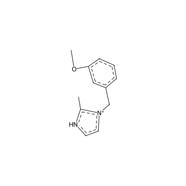 COc1cccc(C[n+]2cc[nH]c2C)c1